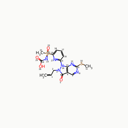 C=CCn1c(=O)c2cnc(SC)nc2n1-c1cccc(S(C)(=O)=NC(=O)O)n1